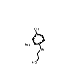 Cl.OCCNc1ccc(O)cc1